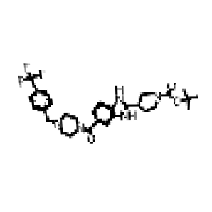 CC(C)(C)OC(=O)N1CCC(C2Nc3ccc(C(=O)N4CCN(Cc5ccc(C(F)(F)F)cc5)CC4)cc3N2)CC1